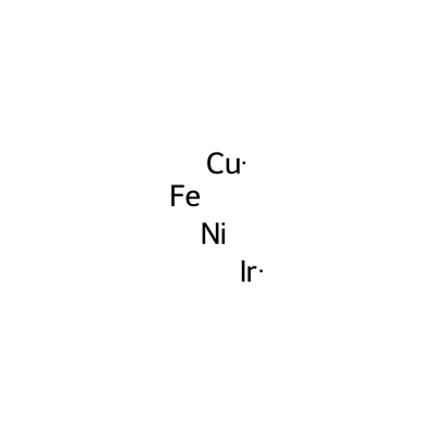 [Cu].[Fe].[Ir].[Ni]